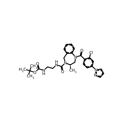 C[C@@H]1CN(C(=O)c2ccc(-n3cccn3)cc2Cl)c2ccccc2CN1C(=O)NCCNC(=O)OC(C)(C)C